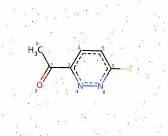 CC(=O)c1ccc(F)nn1